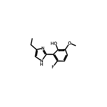 CCc1c[nH]c(-c2c(F)ccc(OC)c2O)n1